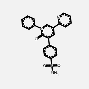 NS(=O)(=O)c1ccc(-c2cc(-c3ccccn3)cn(-c3ccccc3)c2=O)cc1